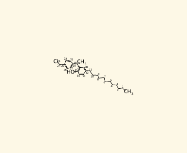 CCCCCCCCCCCCc1ccc(O)c(C(C)c2ccc(CCl)cc2)c1